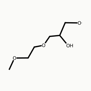 COCCOCC(O)C[O]